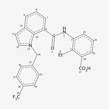 CCc1c(NC(=O)c2cccc3ccn(Cc4ccc(C(F)(F)F)cc4)c23)cccc1C(=O)O